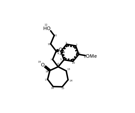 COc1cccc(C2(CC(=O)CCO)CCCCCC2=O)c1